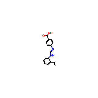 CCc1ccccc1NC=Nc1ccc(C(=O)O)cc1